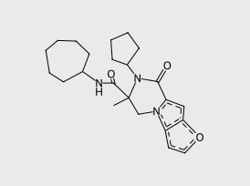 CC1(C(=O)NC2CCCCCC2)Cn2c(cc3occc32)C(=O)N1C1CCCC1